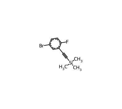 C[Si](C)(C)C#Cc1cc(Br)ccc1F